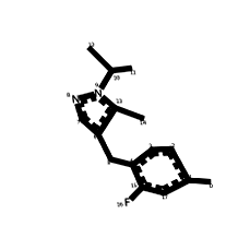 Cc1ccc(Cc2cnn(C(C)C)c2C)c(F)c1